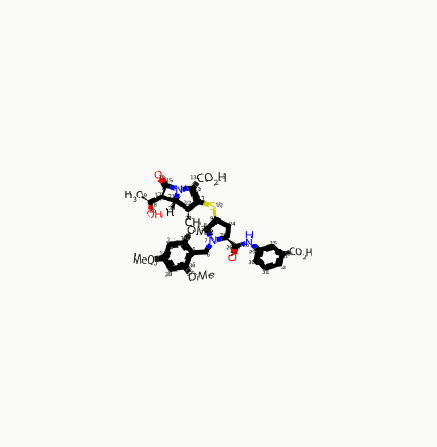 COc1cc(OC)c(CN2C[C@@H](SC3=C(C(=O)O)N4C(=O)[C@H]([C@@H](C)O)[C@H]4[C@H]3C)C[C@H]2C(=O)Nc2cccc(C(=O)O)c2)c(OC)c1